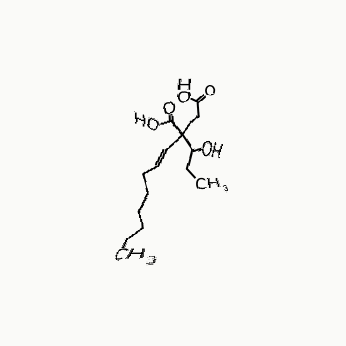 CCCCCCC=CC(CC(=O)O)(C(=O)O)C(O)CC